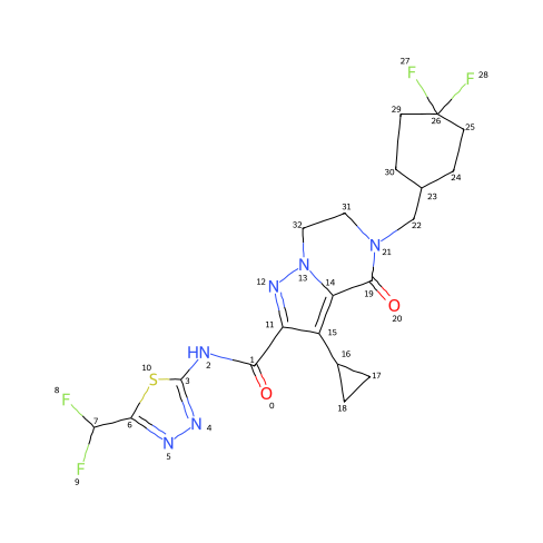 O=C(Nc1nnc(C(F)F)s1)c1nn2c(c1C1CC1)C(=O)N(CC1CCC(F)(F)CC1)CC2